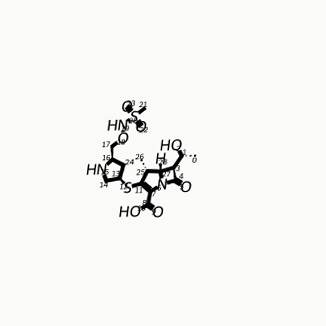 C[C@@H](O)[C@H]1C(=O)N2C(C(=O)O)=C(S[C@H]3CN[C@@H](CONS(C)(=O)=O)C3)[C@H](C)[C@H]12